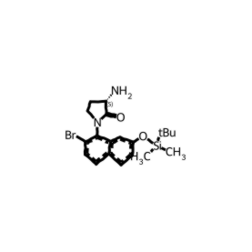 CC(C)(C)[Si](C)(C)Oc1ccc2ccc(Br)c(N3CC[C@H](N)C3=O)c2c1